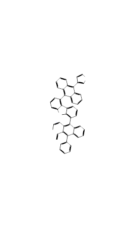 C=Cc1c(/C=C\C)c(-c2cccc3c2sc2cccc(-c4c5ccccc5c(-c5ccsc5)c5ccccc45)c23)c2ccccc2c1-c1ccccc1